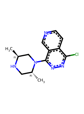 C[C@@H]1CN[C@@H](C)CN1c1nnc(Cl)c2ccncc12